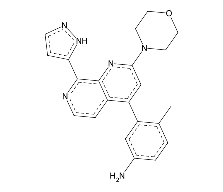 Cc1ccc(N)cc1-c1cc(N2CCOCC2)nc2c(-c3ccn[nH]3)nccc12